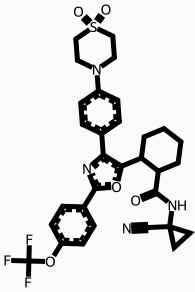 N#CC1(NC(=O)C2CCCCC2c2oc(-c3ccc(OC(F)(F)F)cc3)nc2-c2ccc(N3CCS(=O)(=O)CC3)cc2)CC1